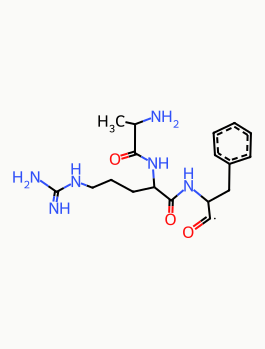 CC(N)C(=O)NC(CCCNC(=N)N)C(=O)NC([C]=O)Cc1ccccc1